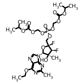 CCOc1nc(C)nc2c1ncn2[C@@H]1O[C@](F)(COP(=O)(OCOC(=O)OC(C)C)OCOC(=O)OC(C)C)[C@@H](F)[C@@]1(C)O